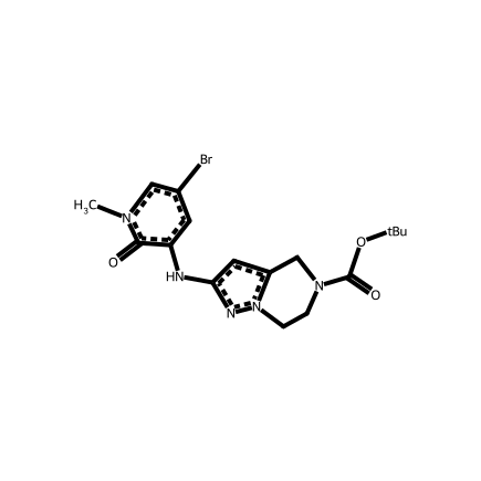 Cn1cc(Br)cc(Nc2cc3n(n2)CCN(C(=O)OC(C)(C)C)C3)c1=O